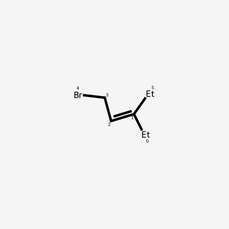 CCC(=CCBr)CC